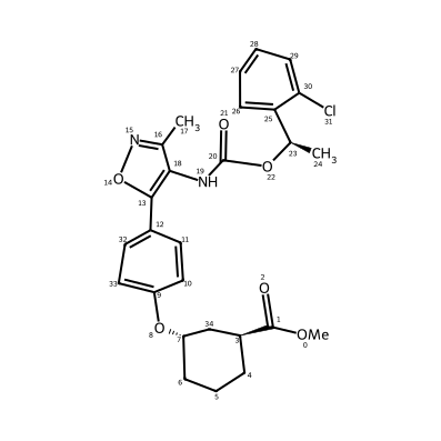 COC(=O)[C@H]1CCC[C@H](Oc2ccc(-c3onc(C)c3NC(=O)O[C@H](C)c3ccccc3Cl)cc2)C1